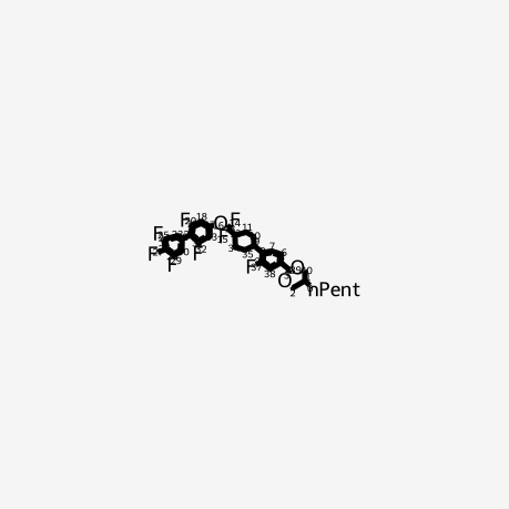 CCCCCC1COC(c2ccc(C3CCC(C(F)(F)Oc4cc(F)c(-c5cc(F)c(F)c(F)c5)c(F)c4)CC3)c(F)c2)OC1